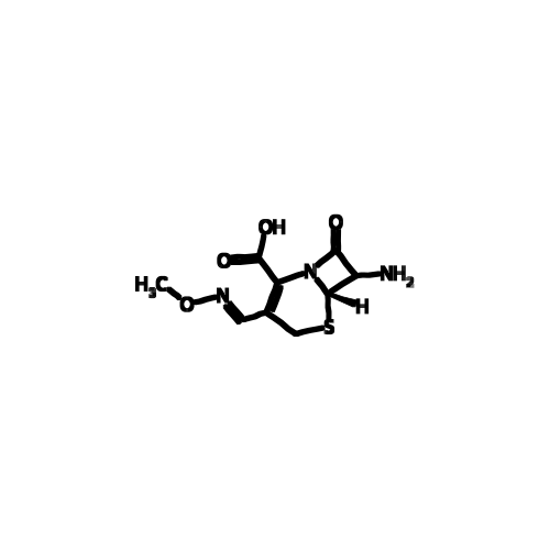 CON=CC1=C(C(=O)O)N2C(=O)C(N)[C@@H]2SC1